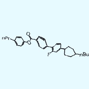 CCCCC1CCC(c2ccc(-c3ccc(C(=O)Oc4ccc(CCC)cc4)cc3)c(F)c2)CC1